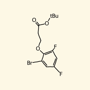 CC(C)(C)OC(=O)CCOc1c(F)cc(F)cc1Br